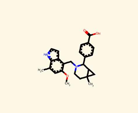 COc1cc(C)c2[nH]ccc2c1CN1CCC2(C)CC2C1c1ccc(C(=O)O)cc1